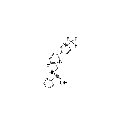 OC[C@H](NCc1nc(-c2ccc(C(F)(F)F)nc2)ccc1F)c1ccccc1